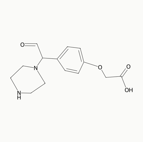 O=CC(c1ccc(OCC(=O)O)cc1)N1CCNCC1